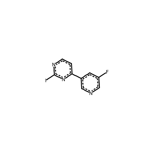 Fc1cncc(-c2ccnc(I)n2)c1